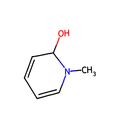 CN1C=CC=CC1O